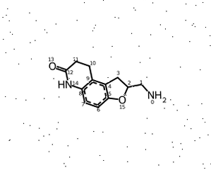 NCC1Cc2c(ccc3c2CCC(=O)N3)O1